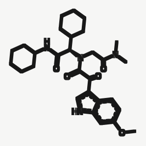 COc1ccc2c(C(=O)C(=O)N(CC(=O)N(C)C)[C@@H](C(=O)NC3CCCCC3)C3CCCCC3)c[nH]c2c1